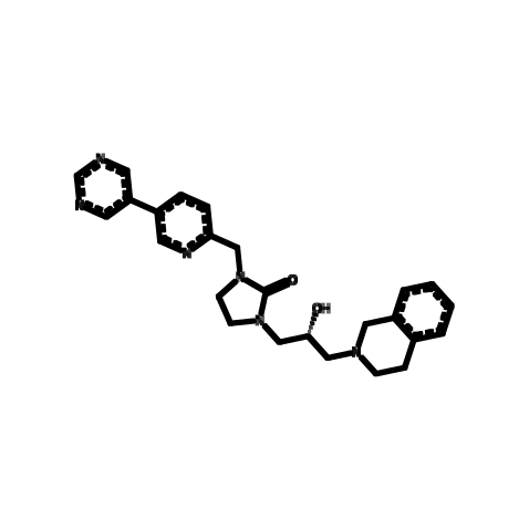 O=C1N(Cc2ccc(-c3cncnc3)cn2)CCN1C[C@H](O)CN1CCc2ccccc2C1